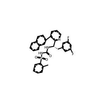 Cc1ccccc1S(=O)(=O)NC(=O)N[C@@H](Cc1cc(F)cc(F)c1)c1ncccc1-c1ccc2ccccc2c1